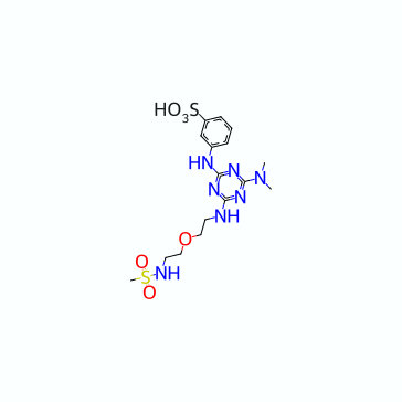 CN(C)c1nc(NCCOCCNS(C)(=O)=O)nc(Nc2cccc(S(=O)(=O)O)c2)n1